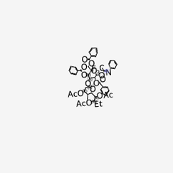 CC[C@@H](OC(C)=O)[C@@H](OC(C)=O)C1O[C@](C)(O[C@@H]2C(OC(=O)c3ccccc3)C(O/C(=N/c3ccccc3)C(F)(F)F)OC(COC(=O)c3ccccc3)[C@H]2OC(=O)c2ccccc2)C[C@@H](OC(C)=O)C1C